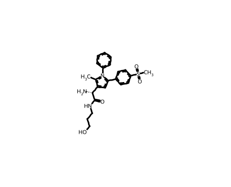 Cc1c([C@@H](N)C(=O)NCCCO)cc(-c2ccc(S(C)(=O)=O)cc2)n1-c1ccccc1